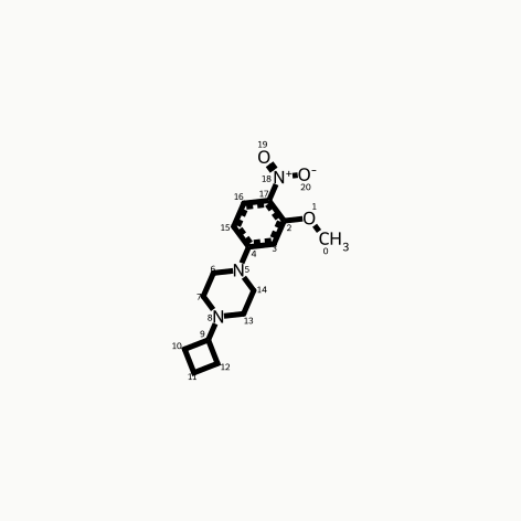 COc1cc(N2CCN(C3CCC3)CC2)ccc1[N+](=O)[O-]